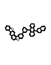 C1=CC2=CC=C(c3c4c(c(-c5cccc(-c6ccc7oc8ccc9cc%10c(cc9c8c7c6)oc6ccccc6%10)c5)c5ccccc35)=CCCC=4)CC2C=C1